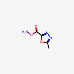 Cc1nnc(C(=O)ON)o1